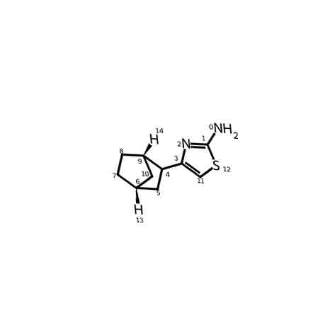 Nc1nc(C2C[C@@H]3CC[C@H]2C3)cs1